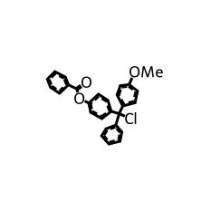 COc1ccc(C(Cl)(c2ccccc2)c2ccc(OC(=O)c3ccccc3)cc2)cc1